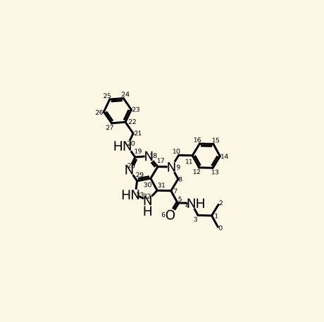 CC(C)CNC(=O)C1CN(Cc2ccccc2)c2nc(NCc3ccccc3)nc3c2C1NN3